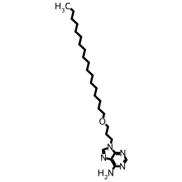 CCCCCCCCCCCCCCCCCCOCCCn1cnc2c(N)ncnc21